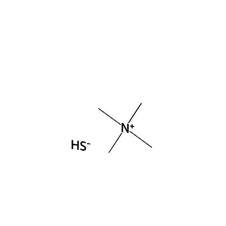 C[N+](C)(C)C.[SH-]